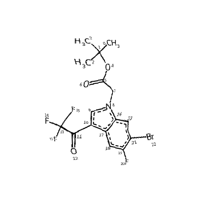 CC(C)(C)OC(=O)Cn1cc(C(=O)C(F)(F)F)c2cc(F)c(Br)cc21